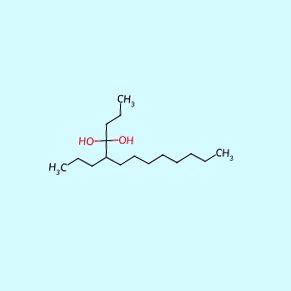 CCCCCCCCC(CCC)C(O)(O)CCC